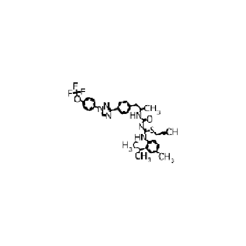 C#CCS/C(=N\C(=O)NC(C)Cc1ccc(-c2ncn(-c3ccc(OC(F)(F)F)cc3)n2)cc1)Nc1ccc(C)cc1C(C)C